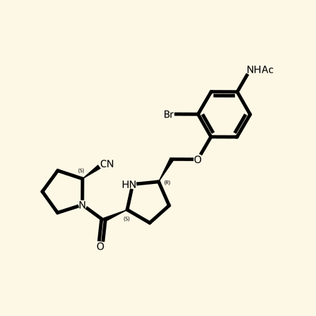 CC(=O)Nc1ccc(OC[C@H]2CC[C@@H](C(=O)N3CCC[C@H]3C#N)N2)c(Br)c1